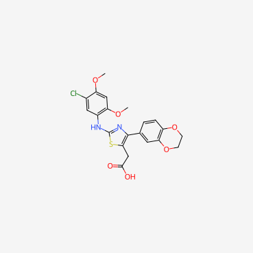 COc1cc(OC)c(Nc2nc(-c3ccc4c(c3)OCCO4)c(CC(=O)O)s2)cc1Cl